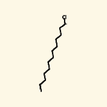 CCCCCCCCCCCC[CH]Cl